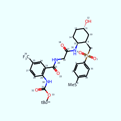 CSc1ccc(S(=O)(=O)C[C@@H]2C[C@@H](O)CC[C@@H]2NC(=O)CNC(=O)c2cc(C(F)(F)F)ccc2NC(=O)OC(C)(C)C)cc1